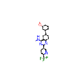 CNc1nc(-c2ccc(C(F)(F)F)nc2)nc2ccc(-c3cccc(OC)c3)cc12